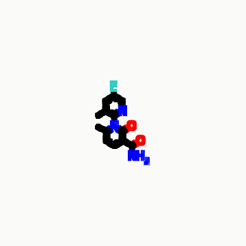 Cc1cc(F)cnc1-n1c(C)ccc(C(N)=O)c1=O